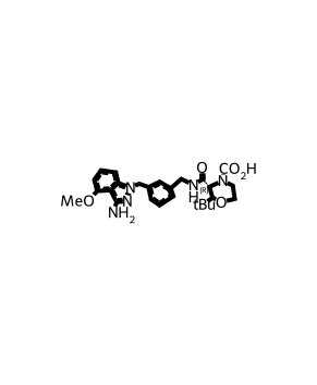 COc1cccc2c1c(N)nn2Cc1cccc(CNC(=O)[C@H]2C(C(C)(C)C)OCCN2C(=O)O)c1